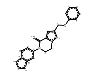 O=C1c2cc(COc3ccccc3)nn2CCN1c1ccc2nsnc2c1